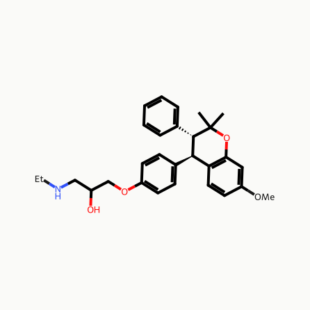 CCNCC(O)COc1ccc([C@@H]2c3ccc(OC)cc3OC(C)(C)[C@H]2c2ccccc2)cc1